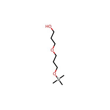 C[Si](C)(C)OCCCOCCCO